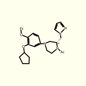 CCOc1ccc(N2CCN(C(C)=O)[C@@H](Cn3cccn3)C2)cc1OC1CCCC1